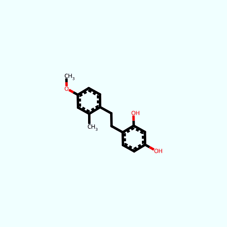 COc1ccc(CCc2ccc(O)cc2O)c(C)c1